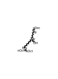 CCCCCCCCCCCOC(=O)CCCCC[N+]([O-])(CCO)CCCCCCCC(=O)OC(CCCCCCCC)CCCCCCCC